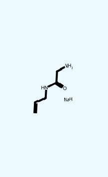 C=CCNC(=O)CN.[NaH]